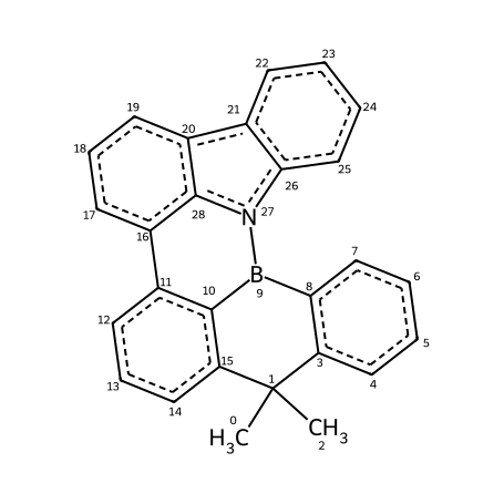 CC1(C)c2ccccc2B2c3c(cccc31)-c1cccc3c4ccccc4n2c13